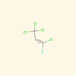 F/C(Cl)=C/C(Cl)(Cl)Cl